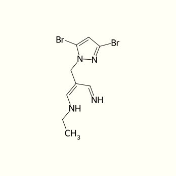 CCN/C=C(\C=N)Cn1nc(Br)cc1Br